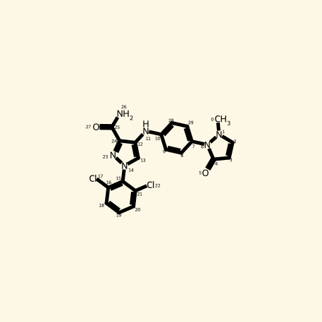 Cn1ccc(=O)n1-c1ccc(Nc2cn(-c3c(Cl)cccc3Cl)nc2C(N)=O)cc1